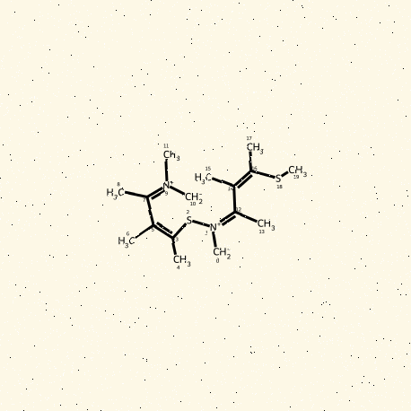 [CH2-]/[N+](S/C(C)=C(C)\C(C)=[N+](/[CH2-])C)=C(C)/C(C)=C(/C)SC